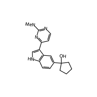 CNc1nccc(-c2c[nH]c3ccc(C4(O)CCCC4)cc23)n1